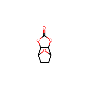 O=C1OC2C3CCC(O3)C2O1